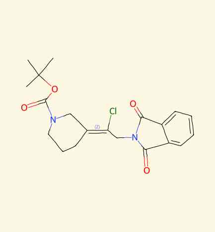 CC(C)(C)OC(=O)N1CCC/C(=C(/Cl)CN2C(=O)c3ccccc3C2=O)C1